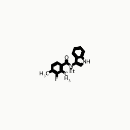 CCN(C(=O)c1ccc(C)c(F)c1C)c1c[nH]c2ccccc12